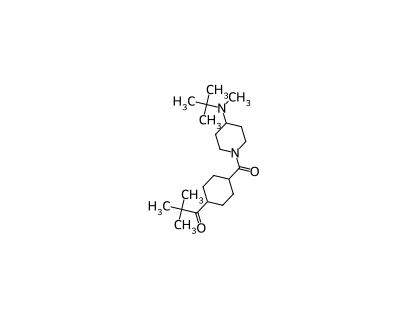 CN(C1CCN(C(=O)C2CCC(C(=O)C(C)(C)C)CC2)CC1)C(C)(C)C